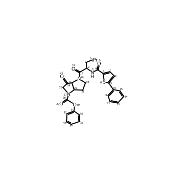 CC(C)CC(NC(=O)c1ccc(-c2ccccc2)s1)C(=O)N1CCC2C1C(=O)CN2C(=O)Oc1ccccc1